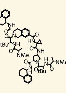 CN[C@@H](C)C(=O)N[C@H](C(=O)N1Cc2cc(C(=O)NC3(C(=O)N[C@H]4C[C@@H](C(=O)N[C@@H]5CCCc6ccccc65)N(C(=O)[C@@H](NC(=O)[C@H](C)NC)C(C)(C)C)C4)CC3)ccc2C[C@H]1C(=O)N[C@@H]1CCCc2ccccc21)C(C)(C)C